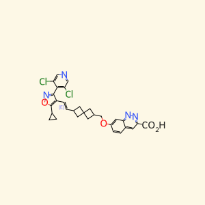 O=C(O)c1cc2ccc(OCC3CC4(CC(/C=C/c5c(-c6c(Cl)cncc6Cl)noc5C5CC5)C4)C3)cc2nn1